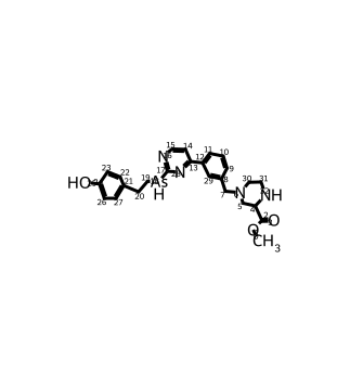 COC(=O)C1CN(Cc2cccc(-c3ccnc([AsH]CCc4ccc(O)cc4)n3)c2)CCN1